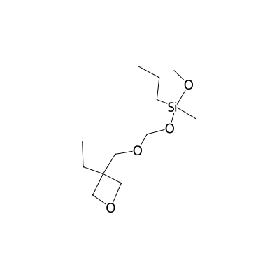 CCC[Si](C)(OC)OCOCC1(CC)COC1